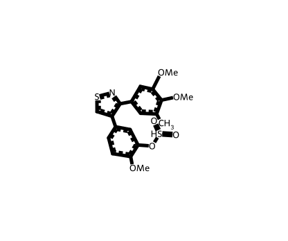 COc1ccc(-c2csnc2-c2cc(C)c(OC)c(OC)c2)cc1O[SH](=O)=O